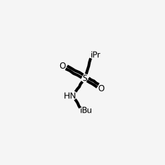 CCC(C)NS(=O)(=O)C(C)C